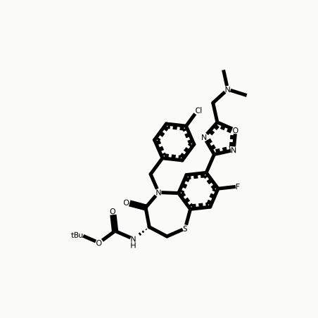 CN(C)Cc1nc(-c2cc3c(cc2F)SC[C@H](NC(=O)OC(C)(C)C)C(=O)N3Cc2ccc(Cl)cc2)no1